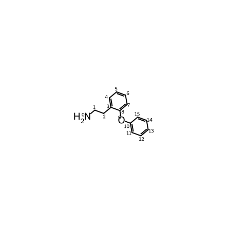 NCCc1ccccc1Oc1ccccc1